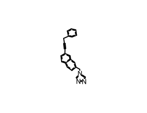 C(#Cc1ccc2ccc(Cn3cnnc3)cc2c1)Cc1ccccc1